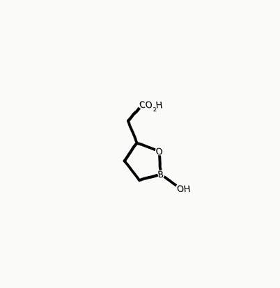 O=C(O)CC1CCB(O)O1